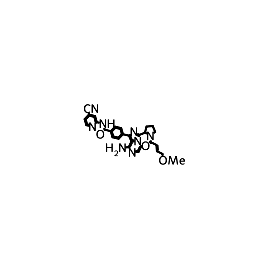 COCC=CC(=O)N1CCCC1c1nc(-c2ccc(C(=O)Nc3cc(C#N)ccn3)cc2)c2c(N)nccn12